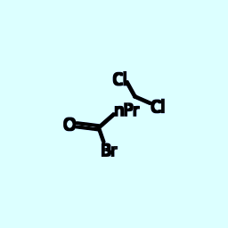 CCCC(=O)Br.ClCCl